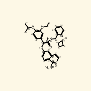 CCOc1cc(C(Oc2ccc3c(N)nccc3c2)C(=O)NCc2ccccc2SC2CCC2)ccc1OC(C)C